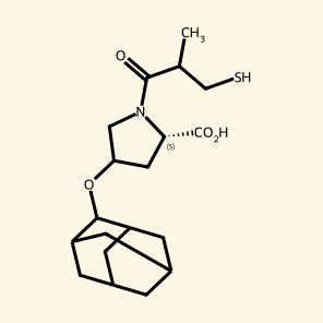 CC(CS)C(=O)N1CC(OC2C3CC4CC(C3)CC2C4)C[C@H]1C(=O)O